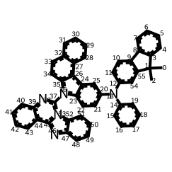 CC1(C)c2ccccc2-c2ccc(N(c3ccccc3)c3ccc4c(c3)c3c5ccccc5ccc3n4-c3nc4ccccc4c4nc5ccccc5n34)cc21